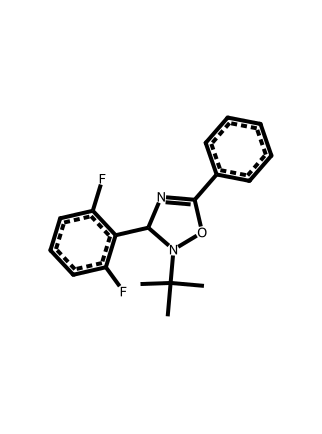 CC(C)(C)N1OC(c2ccccc2)=NC1c1c(F)cccc1F